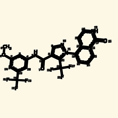 COc1cc(NC(=O)c2cnn(-c3cccc4c(=O)[nH]ccc34)c2C(F)(F)F)cc(C(F)(F)F)n1